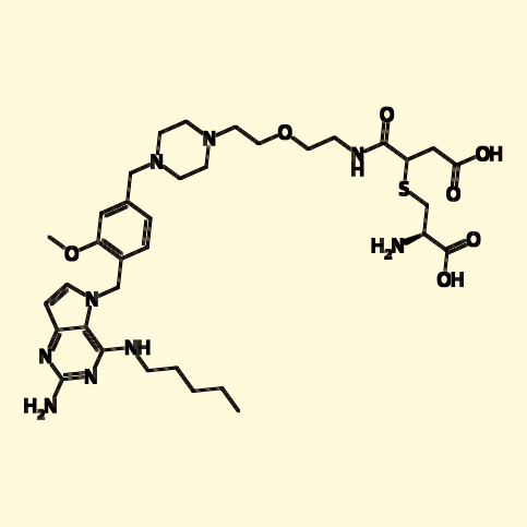 CCCCCNc1nc(N)nc2ccn(Cc3ccc(CN4CCN(CCOCCNC(=O)C(CC(=O)O)SC[C@H](N)C(=O)O)CC4)cc3OC)c12